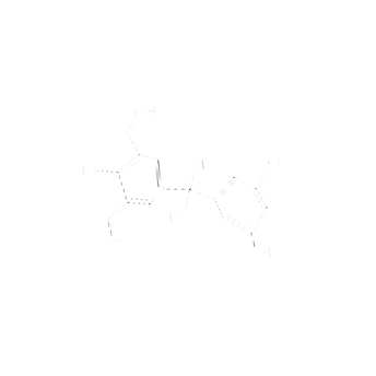 Cc1cc(C)cc(C(C)(C)c2cc(CO)c(O)c(CO)c2)c1